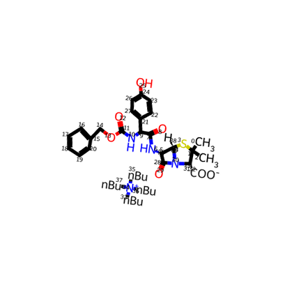 CC1(C)S[C@@H]2[C@H](NC(=O)C(NC(=O)OCc3ccccc3)c3ccc(O)cc3)C(=O)N2[C@H]1C(=O)[O-].CCCC[N+](CCCC)(CCCC)CCCC